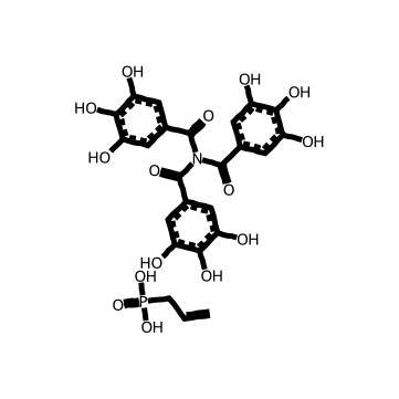 C=CCP(=O)(O)O.O=C(c1cc(O)c(O)c(O)c1)N(C(=O)c1cc(O)c(O)c(O)c1)C(=O)c1cc(O)c(O)c(O)c1